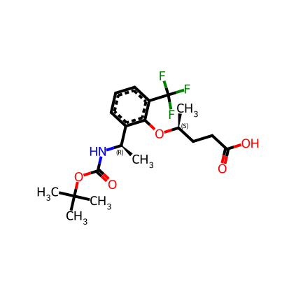 C[C@@H](CCC(=O)O)Oc1c([C@@H](C)NC(=O)OC(C)(C)C)cccc1C(F)(F)F